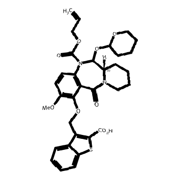 C=CCOC(=O)N1c2ccc(OC)c(OCc3c(C(=O)O)sc4ccccc34)c2C(=O)N2CCCC[C@H]2C1OC1CCCCO1